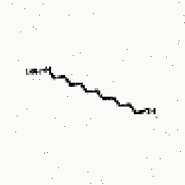 [N-]=[N+]=NCCCCCCCCCCC[SiH3]